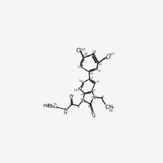 CCCCNC(=O)Cn1c(=O)n(CC#N)c2cc(-c3cc(Cl)cc(Cl)c3)cnc21